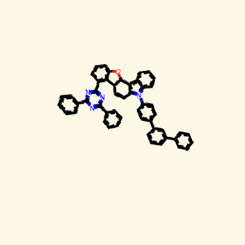 C1=CC2c3c(cccc3-c3nc(-c4ccccc4)nc(-c4ccccc4)n3)OC2c2c1n(-c1ccc(-c3cccc(-c4ccccc4)c3)cc1)c1ccccc21